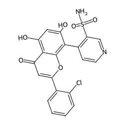 NS(=O)(=O)c1cnccc1-c1c(O)cc(O)c2c(=O)cc(-c3ccccc3Cl)oc12